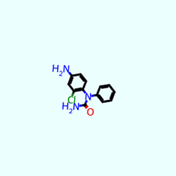 NC(=O)N(c1ccccc1)c1ccc(N)cc1Cl